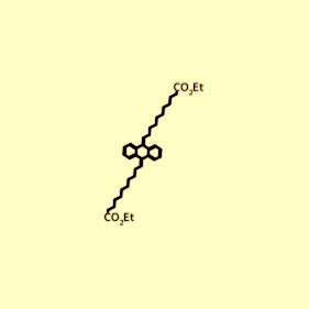 CCOC(=O)CCCCCCCCCC=c1c2ccccc2c(=CCCCCCCCCCC(=O)OCC)c2ccccc12